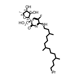 CC(C)CCCC(C)CCCC(C)CCCC(C)CCNC1=NC(=O)[N+](C(=O)O)([C@@H]2O[C@H](C)[C@@H](O)[C@H]2O)C=C1F